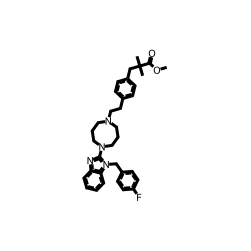 COC(=O)C(C)(C)Cc1ccc(CCN2CCCN(c3nc4ccccc4n3Cc3ccc(F)cc3)CCC2)cc1